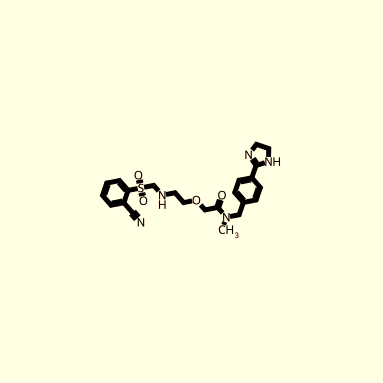 CN(Cc1ccc(C2=NCCN2)cc1)C(=O)COCCNCS(=O)(=O)c1ccccc1C#N